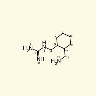 N=C(N)NCC1CCCCC1CN